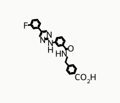 O=C(O)c1ccc(CCNC(=O)c2cccc(Nc3ncc(-c4cccc(F)c4)cn3)c2)cc1